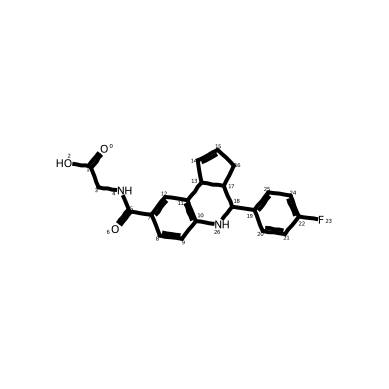 O=C(O)CNC(=O)c1ccc2c(c1)C1C=CCC1C(c1ccc(F)cc1)N2